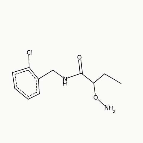 CCC(ON)C(=O)NCc1ccccc1Cl